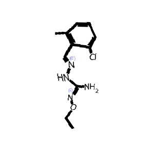 CCO/N=C(\N)N/N=C/c1c(C)cccc1Cl